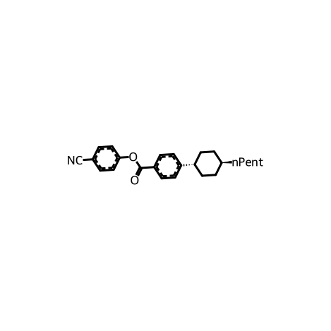 CCCCC[C@H]1CC[C@H](c2ccc(C(=O)Oc3ccc(C#N)cc3)cc2)CC1